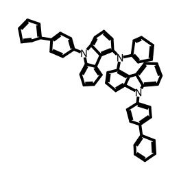 c1ccc(-c2ccc(-n3c4ccccc4c4c(N(c5ccccc5)c5cccc6c5c5ccccc5n6-c5ccc(-c6ccccc6)cc5)cccc43)cc2)cc1